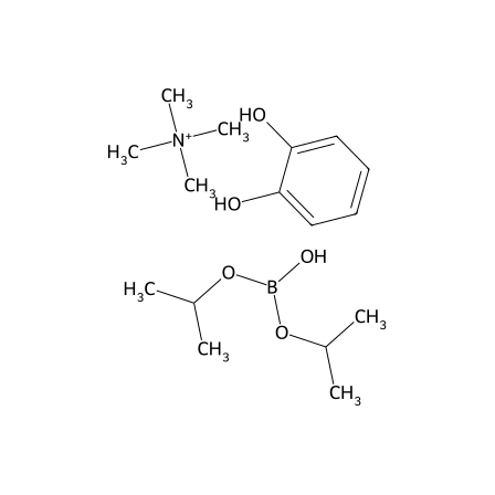 CC(C)OB(O)OC(C)C.C[N+](C)(C)C.Oc1ccccc1O